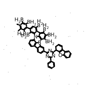 Bc1c(B)c(-c2cc(B)c3c4c(B)c(B)c(B)c5c4n(c3c2B)-c2cccc3c2B5c2cc(-c4nc(-c5ccccc5)nc(C5CC=Cc6c5oc5ccccc65)n4)ccc2-3)c(B)c(C)c1C